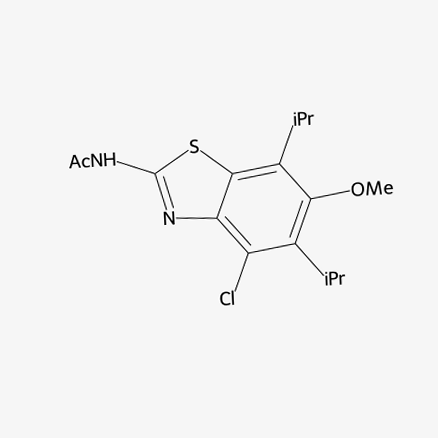 COc1c(C(C)C)c(Cl)c2nc(NC(C)=O)sc2c1C(C)C